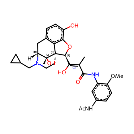 COc1ccc(NC(C)=O)cc1NC(=O)/C(C)=C(\O)[C@@H]1Oc2c(O)ccc3c2[C@@]12CCN(CC1CC1)[C@H](C3)[C@@]2(C)O